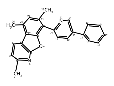 Cc1ccc2c(n1)oc1c(-c3ccc(-c4ccccc4)cn3)c(C)cc(C)c12